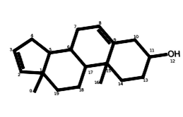 CC12C=CCC1C1CC=C3CC(O)CCC3(C)C1CC2